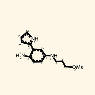 COCCCNc1ccc(N)c(-c2ccc[nH]2)c1